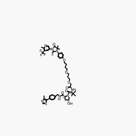 Cc1ncc(N2C(=O)C(C)(C)N(c3ccc(OCCCCOCCCOCC(=O)N[C@H](C(=O)N4C[C@H](O)C[C@H]4C(=O)NCc4ccc(-c5scnc5C)cc4)C(C)(C)C)cc3)C2=S)cc1C(F)(F)F